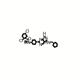 O=S(=O)(Nc1ccc(-c2ncc3c(NCc4ccccc4)n[nH]c3n2)cc1)c1cc(Cl)ccc1Cl